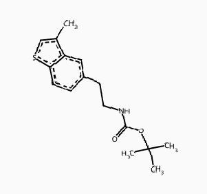 Cc1csc2ccc(CCNC(=O)OC(C)(C)C)cc12